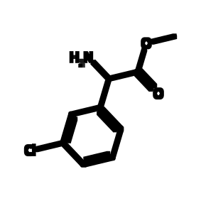 COC(=O)C(N)c1cccc(Cl)c1